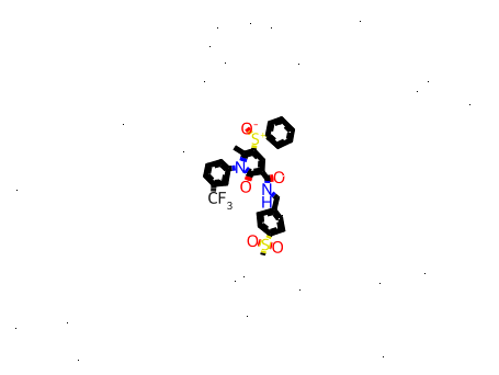 Cc1c([S+]([O-])c2ccccc2)cc(C(=O)NCc2ccc(S(C)(=O)=O)cc2)c(=O)n1-c1cccc(C(F)(F)F)c1